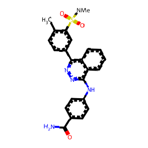 CNS(=O)(=O)c1cc(-c2nnc(Nc3ccc(C(N)=O)cc3)c3ccccc23)ccc1C